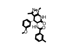 COc1cccc([C@@H]2c3c(C)nn(C)c3NC(=O)[C@@H]2NC(=O)c2cccc(C)c2)c1